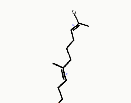 CC/C(C)=C/CCC/C(C)=C/CCBr